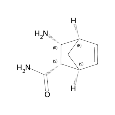 NC(=O)[C@@H]1[C@H](N)[C@H]2C=C[C@@H]1C2